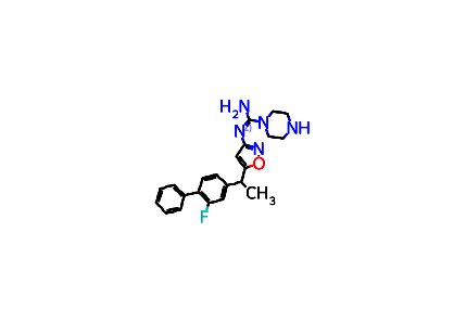 CC(c1ccc(-c2ccccc2)c(F)c1)c1cc(/N=C(/N)N2CCNCC2)no1